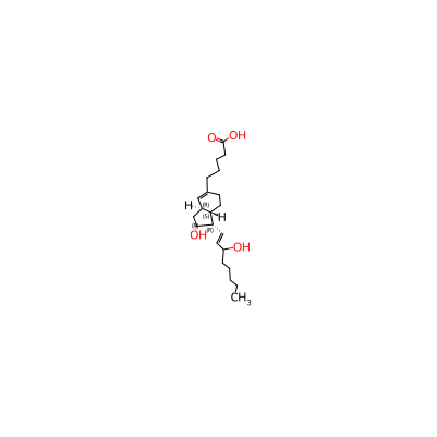 CCCCCC(O)C=C[C@H]1[C@H]2CCC(CCCCC(=O)O)=C[C@@H]2C[C@H]1O